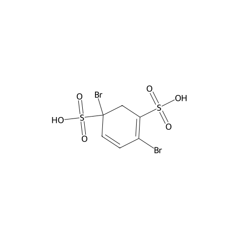 O=S(=O)(O)C1=C(Br)C=CC(Br)(S(=O)(=O)O)C1